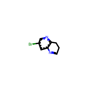 Brc1cnc2c(c1)N=CCC2